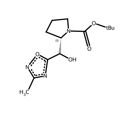 Cc1noc(C(O)[C@@H]2CCCN2C(=O)OC(C)(C)C)n1